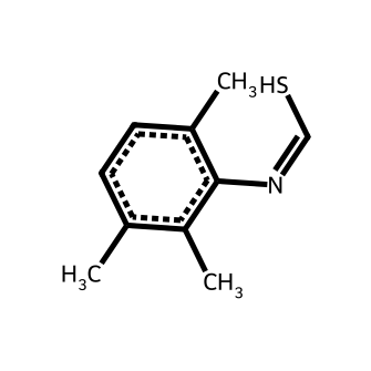 Cc1ccc(C)c(/N=C\S)c1C